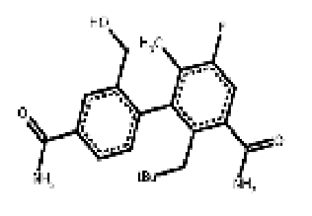 Cc1c(F)cc(C(N)=O)c(CC(C)(C)C)c1-c1ccc(C(N)=O)cc1CO